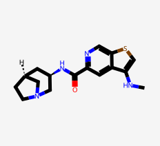 CNc1csc2cnc(C(=O)N[C@@H]3C[C@@H]4CCN(C4)C3)cc12